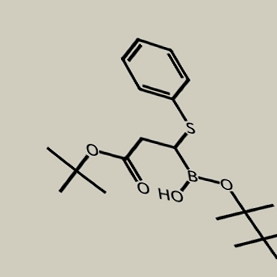 CC(C)(C)OC(=O)CC(Sc1ccccc1)B(O)OC(C)(C)C(C)(C)O